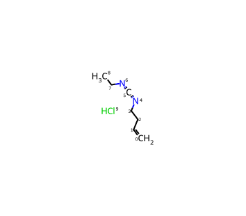 C=CCCN=C=NCC.Cl